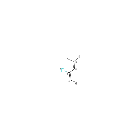 C/C=C(/F)C=C(C)C